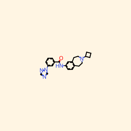 O=C(Nc1ccc2c(c1)CCN(C1CCC1)CC2)c1cccc(-n2cncn2)c1